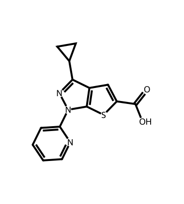 O=C(O)c1cc2c(C3CC3)nn(-c3ccccn3)c2s1